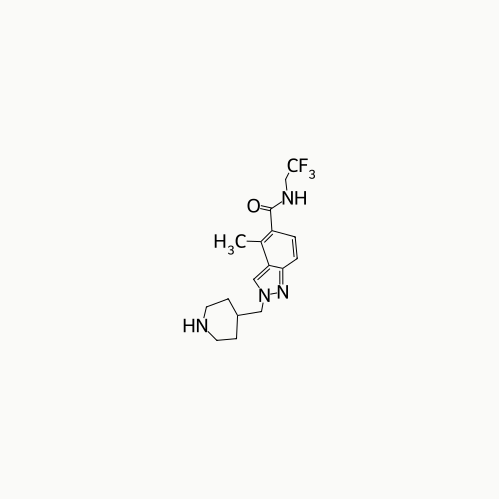 Cc1c(C(=O)NCC(F)(F)F)ccc2nn(CC3CCNCC3)cc12